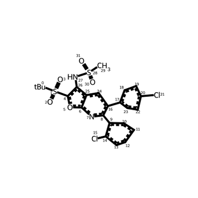 CC(C)(C)S(=O)(=O)c1oc2nc(-c3ccccc3Cl)c(-c3ccc(Cl)cc3)cc2c1NS(C)(=O)=O